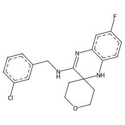 Fc1ccc2c(c1)N=C(NCc1cccc(Cl)c1)C1(CCOCC1)N2